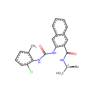 CCC(C)[C@H](NC(=O)c1cc2ccccc2cc1NC(=O)Nc1c(C)cccc1Cl)C(=O)O